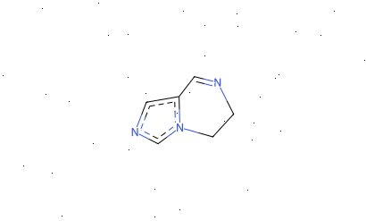 C1=NCCn2cncc21